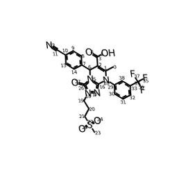 CC1=C(C(=O)O)C(c2ccc(C#N)cc2)n2c(nn(CCCS(C)(=O)=O)c2=O)N1c1cccc(C(F)(F)F)c1